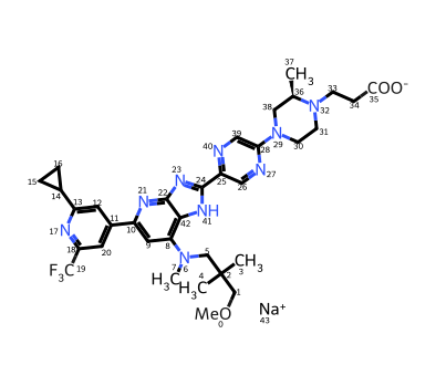 COCC(C)(C)CN(C)c1cc(-c2cc(C3CC3)nc(C(F)(F)F)c2)nc2nc(-c3cnc(N4CCN(CCC(=O)[O-])[C@H](C)C4)cn3)[nH]c12.[Na+]